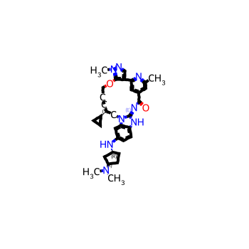 Cc1cc2cc(n1)-c1cnn(C)c1OCCC[C@@H](C1CC1)CN1/C(=N/C2=O)Nc2ccc(N[C@@H]3CC[C@@H](N(C)C)C3)cc21